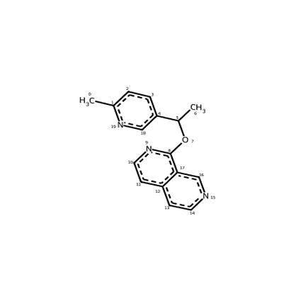 Cc1ccc(C(C)Oc2nccc3ccncc23)cn1